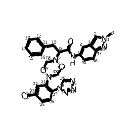 Cn1cc2cc(NC(=O)C(Cc3ccccc3)N3CON(c4cc(Cl)ccc4-n4cnnn4)CO3)ccc2n1